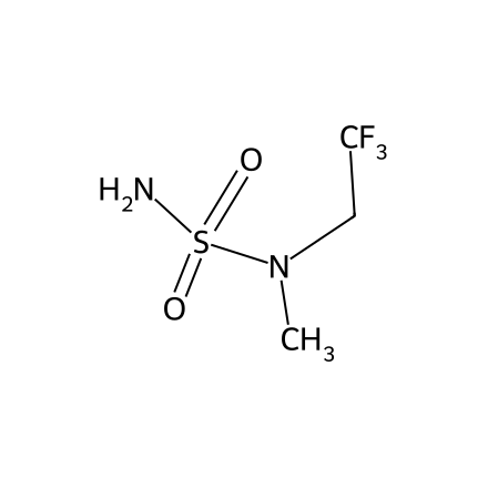 CN(CC(F)(F)F)S(N)(=O)=O